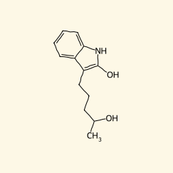 CC(O)CCCc1c(O)[nH]c2ccccc12